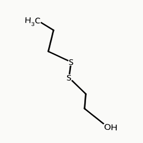 CCCSSCCO